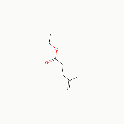 C=C(C)CCC(=O)OCC